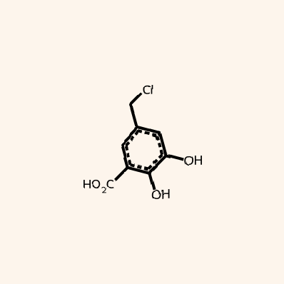 O=C(O)c1cc(CCl)cc(O)c1O